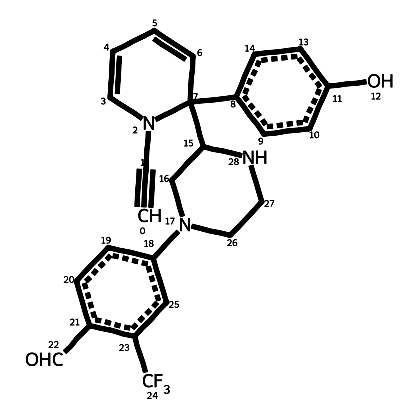 C#CN1C=CC=CC1(c1ccc(O)cc1)C1CN(c2ccc(C=O)c(C(F)(F)F)c2)CCN1